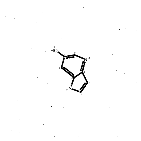 Oc1cnc2ccsc2c1